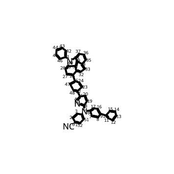 N#Cc1ccc(N(c2ccc(-c3ccccc3)cc2)c2ccc(-c3ccc(-c4ccc5c6c4ccc4cccc(c46)n5-c4ccccc4)cc3)cn2)cc1